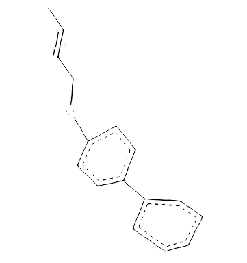 C/C=C/COc1ccc(-c2ccccc2)cc1